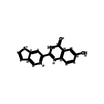 O=c1[nH]c(-c2cc3sccc3cn2)nc2ccc(O)cc12